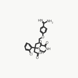 N=C(N)c1ccc(OCCCC(CC(=O)O)(c2ccccc2Cl)N2CCNC(=O)C2=O)cc1